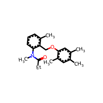 CCC(=O)N(C)c1cccc(C)c1COc1cc(C)c(C)cc1C